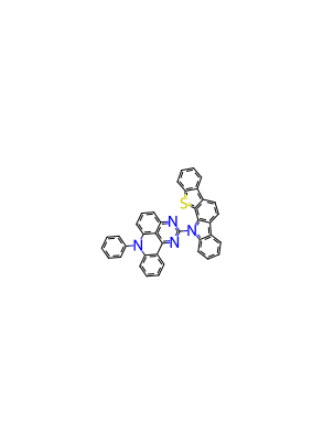 c1ccc(N2c3ccccc3-c3nc(-n4c5ccccc5c5ccc6c7ccccc7sc6c54)nc4cccc2c34)cc1